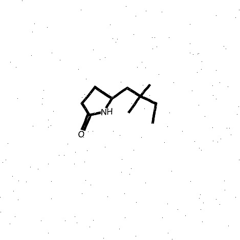 CCC(C)(C)CC1CCC(=O)N1